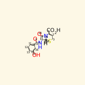 O=C(O)C1=CCS[C@@H]2C(NC(=O)c3cccc(O)c3)C(=O)N12